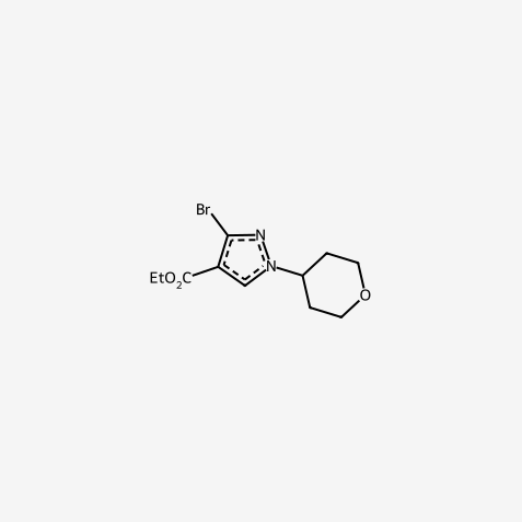 CCOC(=O)c1cn(C2CCOCC2)nc1Br